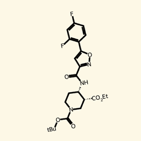 CCOC(=O)[C@@H]1CN(C(=O)OC(C)(C)C)CC[C@@H]1NC(=O)c1cc(-c2ccc(F)cc2F)on1